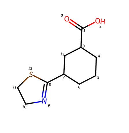 O=C(O)C1CCCC(C2=NCCS2)C1